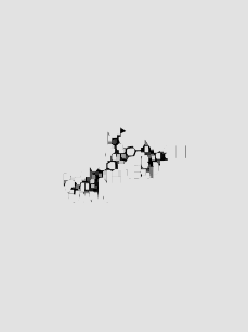 COC(=O)N[C@H](C(=O)N1CCCC1c1ncc(-c2cc(F)c3c(c2)OC(c2cnc(C4CC4)s2)n2c-3cc3cc(-c4cnc(C5CC6(C)CC6N5C(=O)OC(C)(C)C)[nH]4)ccc32)[nH]1)C(C)C